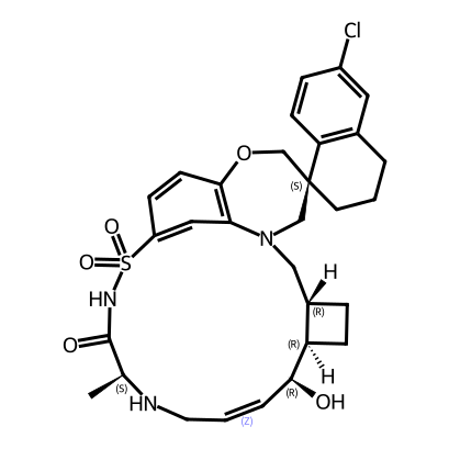 C[C@@H]1NC/C=C\[C@H](O)[C@@H]2CC[C@H]2CN2C[C@@]3(CCCc4cc(Cl)ccc43)COc3ccc(cc32)S(=O)(=O)NC1=O